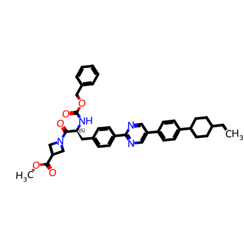 CCC1CCC(c2ccc(-c3cnc(-c4ccc(C[C@H](NC(=O)OCc5ccccc5)C(=O)N5CC(C(=O)OC)C5)cc4)nc3)cc2)CC1